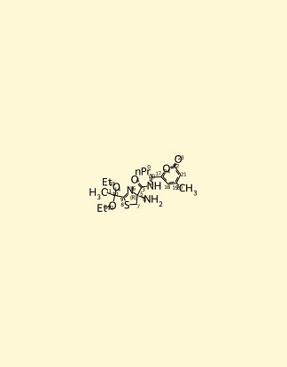 CCC[C@@H](NC(=O)[C@]1(N)CSC(C(C)(OCC)OCC)=N1)c1cc(C)cc(=O)o1